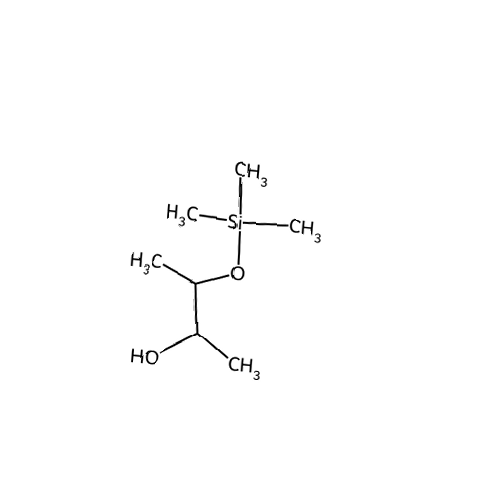 CC(O)C(C)O[Si](C)(C)C